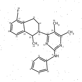 Cc1nc(Nc2ccccc2)nc(N2CCc3c(F)cccc3C2C)c1C